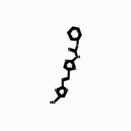 CCCCc1cnc(/C=C/c2cnc(NC(=O)Cc3ccccc3)s2)o1